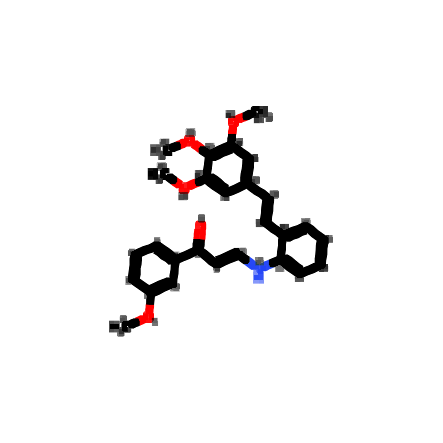 COc1cccc(C(=O)C=CNc2ccccc2C=Cc2cc(OC)c(OC)c(OC)c2)c1